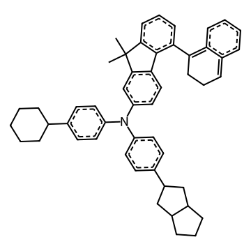 CC1(C)c2cc(N(c3ccc(C4CCCCC4)cc3)c3ccc(C4CC5CCCC5C4)cc3)ccc2-c2c(C3=c4ccccc4=CCC3)cccc21